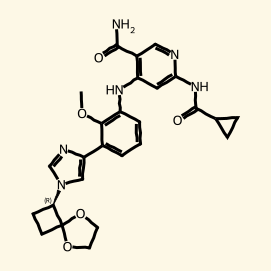 COc1c(Nc2cc(NC(=O)C3CC3)ncc2C(N)=O)cccc1-c1cn([C@@H]2CCC23OCCO3)cn1